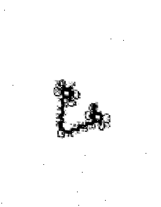 COC1=CC(=O)C(OC)=C(CCCCCCCC2OC2CCCCCCCC2=C(OC)C(=O)C(C)=C(OC)C2=O)C1=O